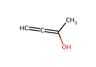 [CH]=C=C(C)O